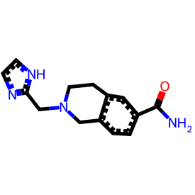 NC(=O)c1ccc2c(c1)CCN(Cc1ncc[nH]1)C2